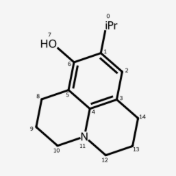 CC(C)c1cc2c3c(c1O)CCCN3CCC2